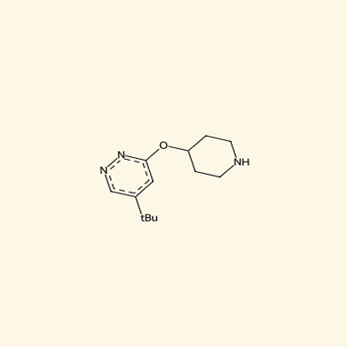 CC(C)(C)c1cnnc(OC2CCNCC2)c1